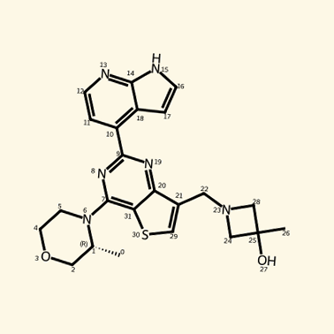 C[C@@H]1COCCN1c1nc(-c2ccnc3[nH]ccc23)nc2c(CN3CC(C)(O)C3)csc12